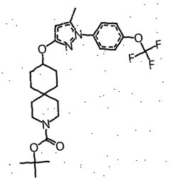 Cc1cc(OC2CCC3(CC2)CCN(C(=O)OC(C)(C)C)CC3)nn1-c1ccc(OC(F)(F)F)cc1